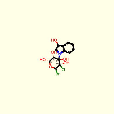 Oc1cn([C@@]2(O)[C@@H](O)[C@@H](O)OC(Br)[C@]2(O)Cl)c2ccccc12